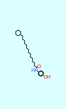 O=C(CCCCCCCCCCCCCCC1CCCCC1)Nc1ccc(O)cc1